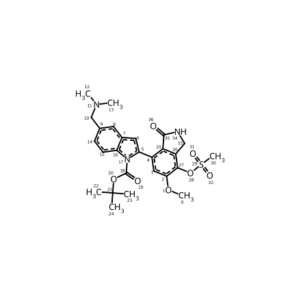 COc1cc(-c2cc3cc(CN(C)C)ccc3n2C(=O)OC(C)(C)C)c2c(c1OS(C)(=O)=O)CNC2=O